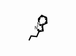 CCCc1cc2ccccn2n1